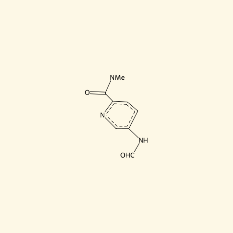 CNC(=O)c1ccc(NC=O)cn1